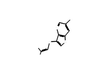 O=C(O)C(=CNc1c[nH]c2cc(Br)cnc12)C(=O)O